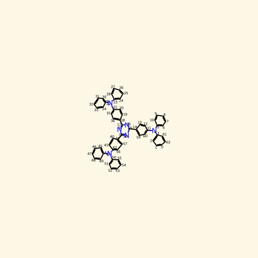 c1ccc(N(c2ccccc2)c2ccc(-c3nc(-c4ccc(N(c5ccccc5)c5ccccc5)cc4)nc(-c4ccc(N(c5ccccc5)c5ccccc5)cc4)n3)cc2)cc1